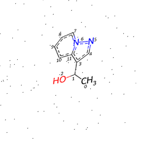 CC(O)c1cnn2ccccc12